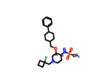 CS(=O)(=O)N[C@H]1CCN(CC2(F)CCC2)C[C@H]1OCC1CCC(c2ccccc2)CC1